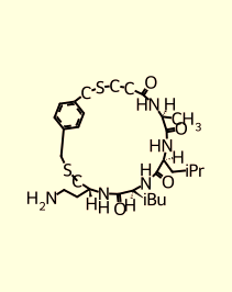 CC[C@H](C)[C@@H]1NC(=O)[C@H](CC(C)C)NC(=O)[C@H](C)NC(=O)CCSCc2ccc(cc2)CSC[C@@H](CCN)NC1=O